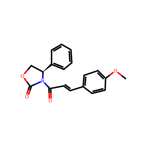 COc1ccc(/C=C/C(=O)N2C(=O)OC[C@H]2c2ccccc2)cc1